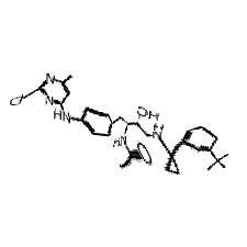 CC(=O)N[C@@H](Cc1ccc(Nc2cc(C)nc(Cl)n2)cc1)[C@H](O)CNC1(c2cccc(C(C)(C)C)c2)CC1